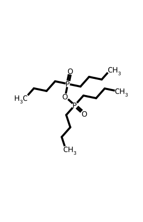 CCCCP(=O)(CCCC)OP(=O)(CCCC)CCCC